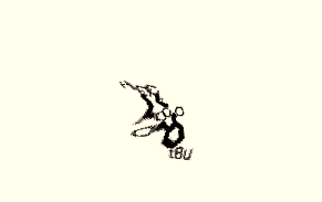 C=CCCOC(=O)c1ccc(C(C)(C)C)cc1C(=O)OCCC=C